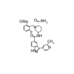 COc1cccc(F)c1CN1C[C@H](NC(=O)c2ccc3[nH]nc(-c4ccnc(C)c4)c3c2)CC[C@H]1C(N)=O